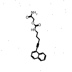 NC(=O)COC(=O)NCCCC#Cc1cccc2ccccc12